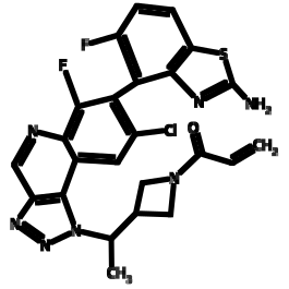 C=CC(=O)N1CC(C(C)n2nnc3cnc4c(F)c(-c5c(F)ccc6sc(N)nc56)c(Cl)cc4c32)C1